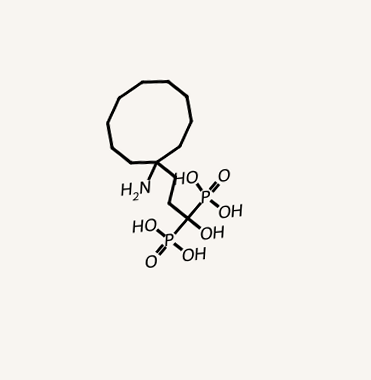 NC1(CCC(O)(P(=O)(O)O)P(=O)(O)O)CCCCCCCCC1